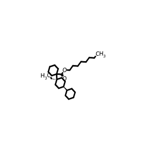 CCCCCCCCOC(=O)C1([C@]2(CC)CC[C@H](C3CCCCC3)CC2)CCCCC1